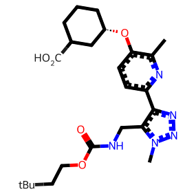 Cc1nc(-c2nnn(C)c2CNC(=O)OCCC(C)(C)C)ccc1O[C@H]1CCCC(C(=O)O)C1